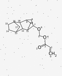 C=CC(=O)OCOC1CC2CC1C1C3CCC(C3)C21